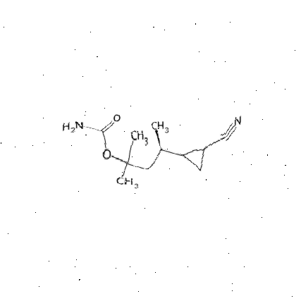 C[C@H](CC(C)(C)OC(N)=O)C1CC1C#N